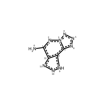 Nc1nn2nnnc2c2[nH]nnc12